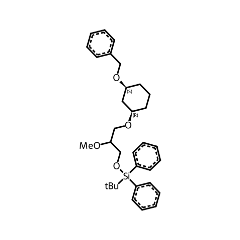 COC(CO[C@@H]1CCC[C@H](OCc2ccccc2)C1)CO[Si](c1ccccc1)(c1ccccc1)C(C)(C)C